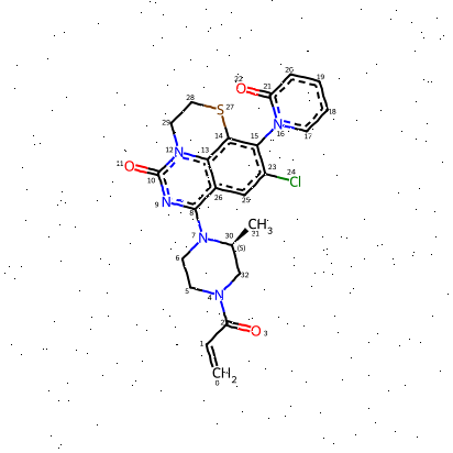 C=CC(=O)N1CCN(c2nc(=O)n3c4c(c(-n5ccccc5=O)c(Cl)cc24)SCC3)[C@@H](C)C1